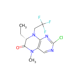 CC[C@H]1C(=O)N(C)c2cnc(Cl)nc2N1CC(F)(F)F